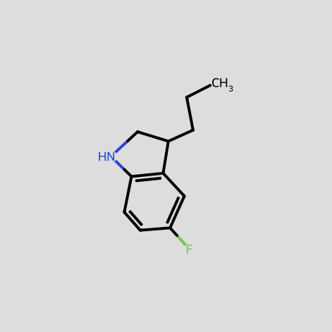 CCCC1CNc2ccc(F)cc21